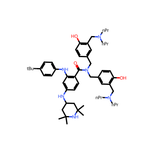 CCCN(CCC)Cc1cc(CN(Cc2ccc(O)c(CN(CCC)CCC)c2)C(=O)c2ccc(NC3CC(C)(C)NC(C)(C)C3)cc2Nc2ccc(C(C)(C)C)cc2)ccc1O